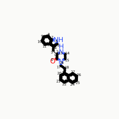 O=C1[C@H](Cc2c[nH]c3ccccc23)NCCN1CCc1cccc2ccccc12